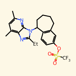 CCc1nc2c(C)cc(C)nc2n1C1CCCCc2cc(OS(=O)(=O)C(F)(F)F)ccc21